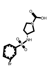 O=C(O)N1CC[C@@H](NS(=O)(=O)c2cccc(Br)c2)C1